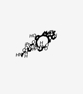 CCn1c(-c2cccnc2[C@H](C)OC)c2c3cc(ccc31)-c1cc(O)cc(c1)C[C@H](NC(=O)[C@H](C(C)C)N1CC[C@@H](NC(=O)[C@H]3CN3)C1=O)C(=O)N1CCC[C@H](N1)C(=O)OCC(C)(C)C2